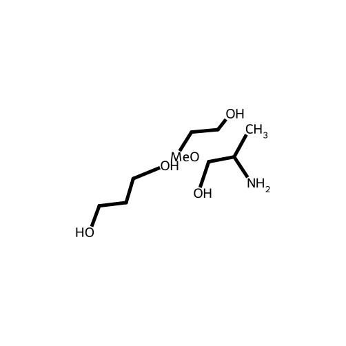 CC(N)CO.COCCO.OCCCO